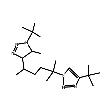 CC(CCC(C)(C)n1cc(C(C)(C)C)nn1)C1N=NN(C(C)(C)C)C1C